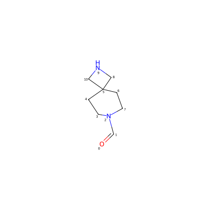 O=CN1CCC2(CC1)CNC2